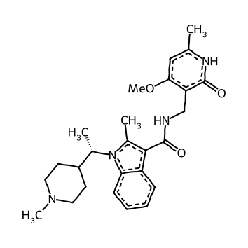 COc1cc(C)[nH]c(=O)c1CNC(=O)c1c(C)n([C@@H](C)C2CCN(C)CC2)c2ccccc12